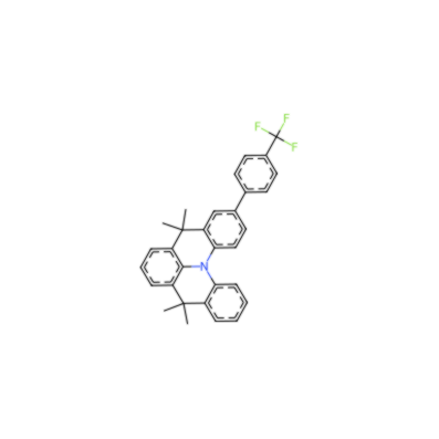 CC1(C)c2ccccc2N2c3ccc(-c4ccc(C(F)(F)F)cc4)cc3C(C)(C)c3cccc1c32